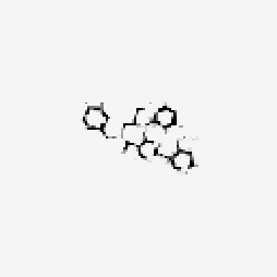 C=CC1CN(Cc2ccccc2)C(=O)c2cnc(-c3cnccc3OC)nc2N1c1ccccc1